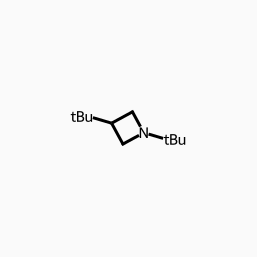 CC(C)(C)C1CN(C(C)(C)C)C1